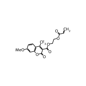 C=CC(=O)OCCOC(=O)c1c(C(F)(F)F)c2ccc(OC)cc2oc1=O